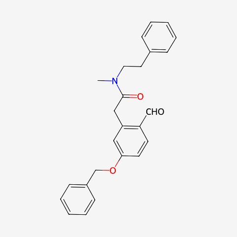 CN(CCc1ccccc1)C(=O)Cc1cc(OCc2ccccc2)ccc1C=O